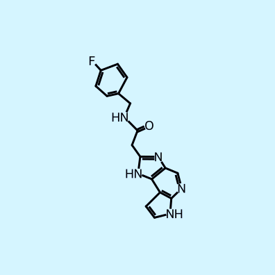 O=C(Cc1nc2cnc3[nH]ccc3c2[nH]1)NCc1ccc(F)cc1